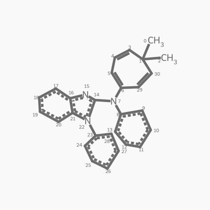 CC1(C)C=CC=C(N(c2ccccc2)c2nc3ccccc3n2-c2ccccc2)C=C1